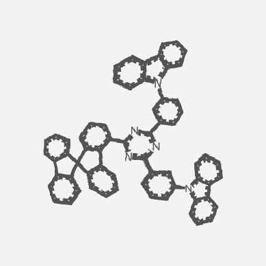 c1cc(-c2nc(-c3cccc(-n4c5ccccc5c5ccccc54)c3)nc(-c3cccc4c3-c3ccccc3C43c4ccccc4-c4ccccc43)n2)cc(-n2c3ccccc3c3ccccc32)c1